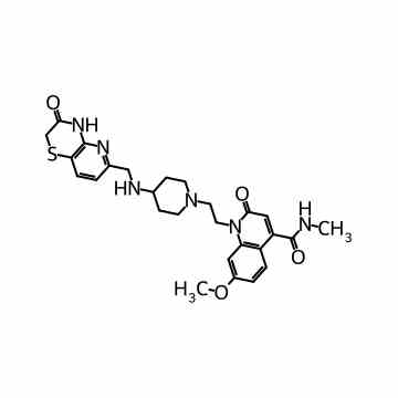 CNC(=O)c1cc(=O)n(CCN2CCC(NCc3ccc4c(n3)NC(=O)CS4)CC2)c2cc(OC)ccc12